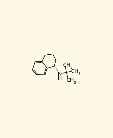 CC(C)(C)N[C@H]1CCCc2ccccc21